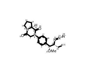 CO[C@H](c1ccc(N2CC(=O)N3CCC[C@H]3C2=O)cc1)[C@@H](CF)N=[N+]=[N-]